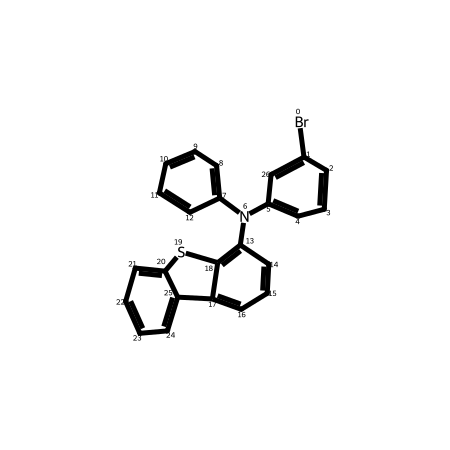 Brc1cccc(N(c2ccccc2)c2cccc3c2sc2ccccc23)c1